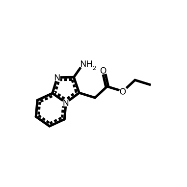 CCOC(=O)Cc1c(N)nc2ccccn12